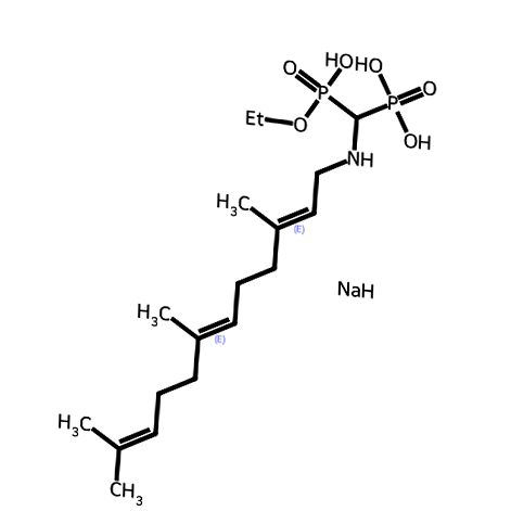 CCOP(=O)(O)C(NC/C=C(\C)CC/C=C(\C)CCC=C(C)C)P(=O)(O)O.[NaH]